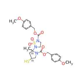 COc1ccc(COC(=O)N2C[C@@H](S)C[C@]2(C)N2CCN(C(=O)OCc3ccc(OC)cc3)S2(=O)=O)cc1